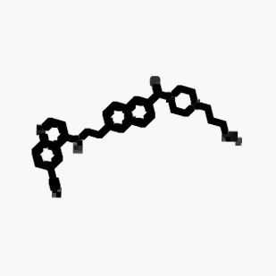 N#Cc1ccc2nccc(NCCc3ccc4cc(C(=O)N5CCN(CCCN)CC5)ccc4c3)c2c1